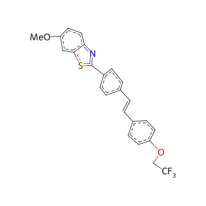 COc1ccc2nc(-c3ccc(C=Cc4ccc(OCC(F)(F)F)cc4)cc3)sc2c1